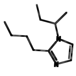 CCCCc1nccn1C(C)CC